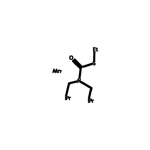 CCSC(=O)N(CC(C)C)CC(C)C.[Mn]